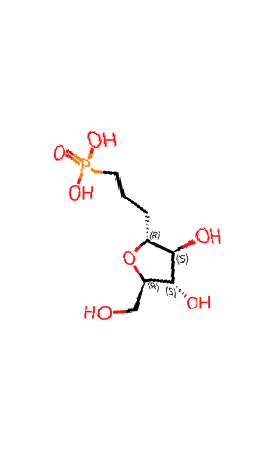 O=P(O)(O)CCC[C@H]1O[C@H](CO)[C@@H](O)[C@@H]1O